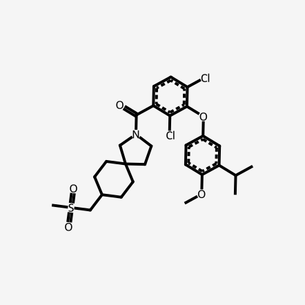 COc1ccc(Oc2c(Cl)ccc(C(=O)N3CCC4(CCC(CS(C)(=O)=O)CC4)C3)c2Cl)cc1C(C)C